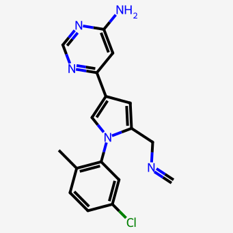 C=NCc1cc(-c2cc(N)ncn2)cn1-c1cc(Cl)ccc1C